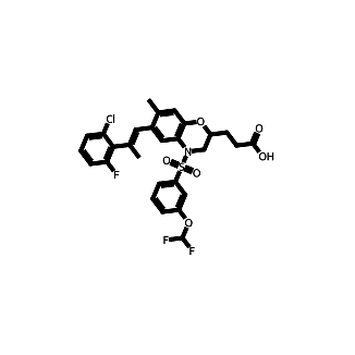 CC(=Cc1cc2c(cc1C)OC(CCC(=O)O)CN2S(=O)(=O)c1cccc(OC(F)F)c1)c1c(F)cccc1Cl